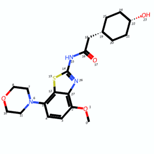 COc1ccc(N2CCOCC2)c2sc(NC(=O)C[C@H]3CC[C@@H](O)CC3)nc12